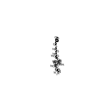 CC(C)(COP(=O)(O)OP(=O)(O)OC[C@H]1O[C@@H](n2cnc3c(N)ncnc32)[C@H](O)[C@@H]1OP(=O)(O)O)[C@@H](O)C(=O)NCCC(=O)NCCSC(=O)C=Cc1ccc2c(c1)OCO2